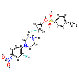 Cc1ccc(S(=O)(=O)OC2CC(F)(CN3CCN(c4ccc([N+](=O)[O-])cc4F)CC3)C2)cc1